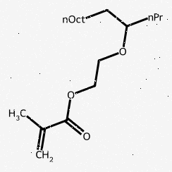 C=C(C)C(=O)OCCOC(CCC)CCCCCCCCC